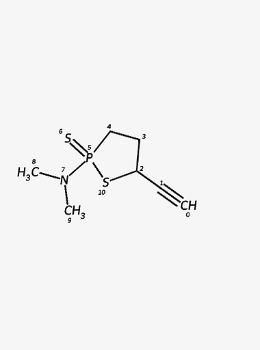 C#CC1CCP(=S)(N(C)C)S1